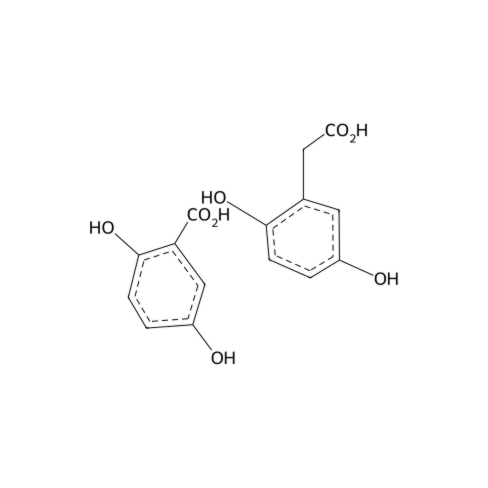 O=C(O)Cc1cc(O)ccc1O.O=C(O)c1cc(O)ccc1O